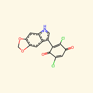 O=C1C=C(Cl)C(=O)C(c2c[nH]c3cc4c(cc23)OCO4)=C1Cl